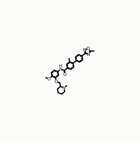 COc1ccc(NC(=O)c2ccc(-c3ccc(-c4noc(C)n4)cc3)c(C)c2)cc1OCC1CCCCN1C